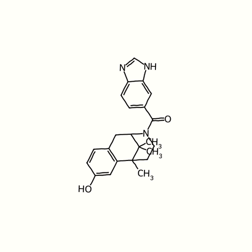 CC12CCN(C(=O)c3ccc4nc[nH]c4c3)C(Cc3ccc(O)cc31)C2(C)C